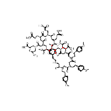 COc1ccc(CCNCC(=O)N(CCc2ccc(OC)cc2)CC(=O)N(CCc2ccc(OC)cc2)CC(=O)N(CCc2ccc(OC)cc2)CC(=O)N(CCC(=O)O)CC(=O)N(CCC(=O)O)CC(=O)N(CCC(=O)O)CC(=O)N(CCC(=O)O)CC(=O)N(CCC(=O)O)CC(=O)N(CCC(=O)O)CC(=O)N(CCC(=O)O)CC(=O)N(CCC(=O)O)CC(N)=O)cc1